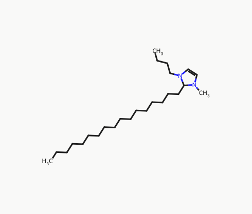 CCCCCCCCCCCCCCCCCC1N(C)C=CN1CCCC